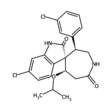 CC(C)O[C@@H]1CC(=O)NC[C@H](c2cccc(Cl)c2)[C@@]12C(=O)Nc1cc(Cl)ccc12